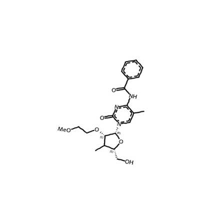 COCCO[C@H]1C(C)[C@@H](CO)O[C@H]1n1cc(C)c(NC(=O)c2ccccc2)nc1=O